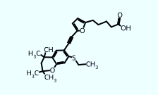 CCSc1cc2c(cc1C#Cc1ccc(CCCCC(=O)O)o1)C(C)(C)CC(C)(C)O2